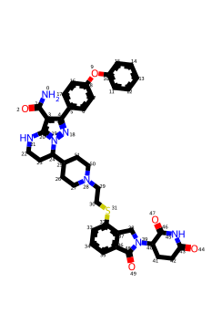 NC(=O)c1c(-c2ccc(Oc3ccccc3)cc2)nn2c1NCCC2C1CCN(CCSc2cccc3c2CN(C2CCC(=O)NC2=O)C3=O)CC1